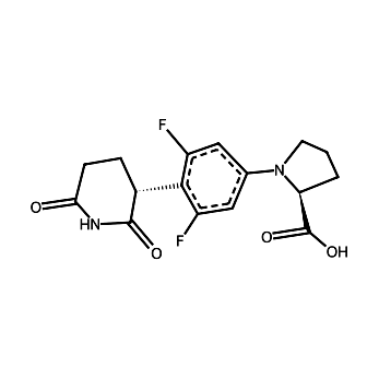 O=C1CC[C@H](c2c(F)cc(N3CCC[C@H]3C(=O)O)cc2F)C(=O)N1